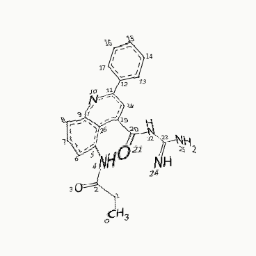 CCC(=O)Nc1cccc2nc(-c3ccccc3)cc(C(=O)NC(=N)N)c12